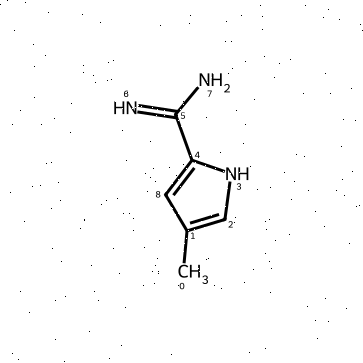 Cc1c[nH]c(C(=N)N)c1